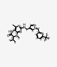 Cc1nc(NCc2cnn(Cc3cccc(C(F)(F)F)n3)c2)nc2c1NC(=O)C(C(C)C)N2C